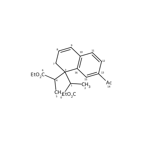 CCOC(=O)C(C)C1(C(C)C(=O)OCC)CC=Cc2ccc(C(C)=O)cc21